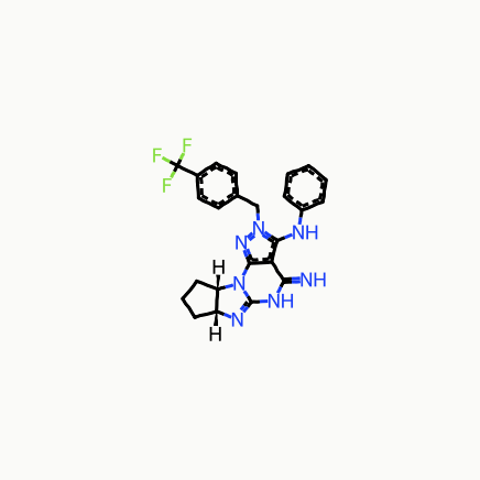 N=C1NC2=N[C@@H]3CCC[C@@H]3N2c2nn(Cc3ccc(C(F)(F)F)cc3)c(Nc3ccccc3)c21